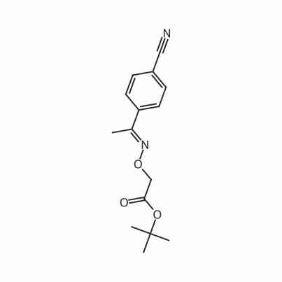 CC(=NOCC(=O)OC(C)(C)C)c1ccc(C#N)cc1